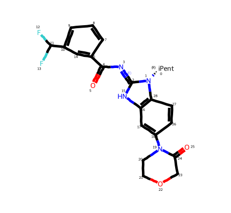 CCC[C@@H](C)n1/c(=N/C(=O)c2cccc(C(F)F)c2)[nH]c2cc(N3CCOCC3=O)ccc21